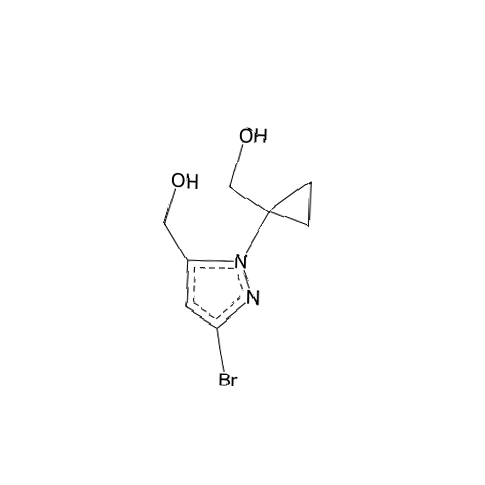 OCc1cc(Br)nn1C1(CO)CC1